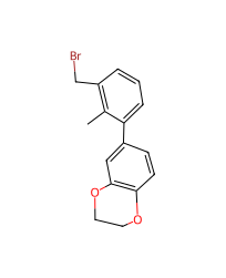 Cc1c(CBr)cccc1-c1ccc2c(c1)OCCO2